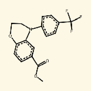 COC(=O)c1ccc2c(c1)N(c1ccc(C(F)(F)F)cc1)CCO2